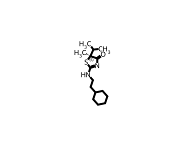 CC(C)[C@]1(C)SC(NCCC2CCCCC2)=NC1=O